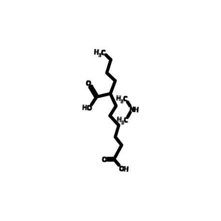 CCCCC(CCCCCC(=O)O)C(=O)O.CNC